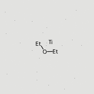 [CH2]COCC.[Ti]